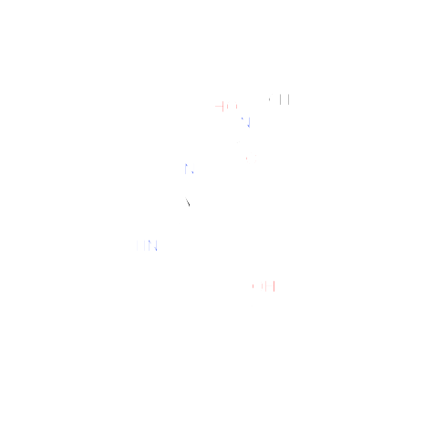 CCN(O)C(=O)CCN1CCC[C@@H]1Cc1c[nH]c2ccc(CCC3(O)CCCC3)cc12